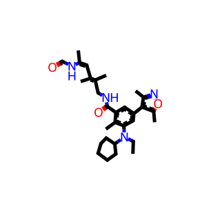 CCN(c1cc(-c2c(C)noc2C)cc(C(=O)NC/C(C)=C(C)/C=C(/C)NC=O)c1C)C1CCCCC1